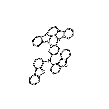 c1ccc2c(c1)sc1c(N(c3ccc4c(c3)n3c5ccccc5c5ccc6c7ccccc7n4c6c53)c3cccc4sc5ccccc5c34)cccc12